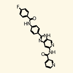 O=C(Nc1ccc(-c2nc3cc(NC(=O)c4cccnc4)ncc3[nH]2)cc1)c1ccc(F)cc1